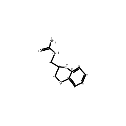 NC(=S)NCC1COc2ccccc2O1